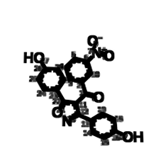 O=C(c1cccc([N+](=O)[O-])c1)c1c(-c2ccc(O)cc2)noc1-c1ccc(O)cc1